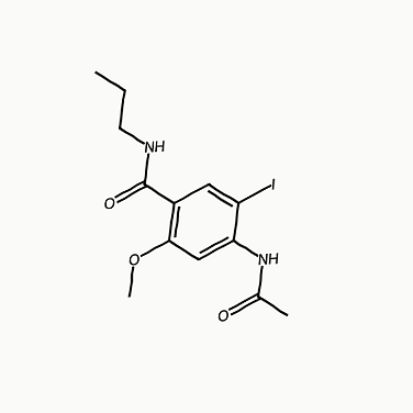 CCCNC(=O)c1cc(I)c(NC(C)=O)cc1OC